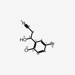 N#CCC(O)c1cc(Br)ccc1Cl